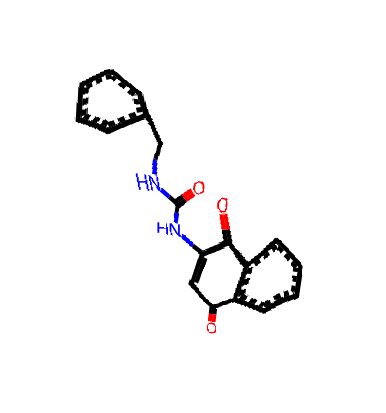 O=C(NCc1ccccc1)NC1=CC(=O)c2ccccc2C1=O